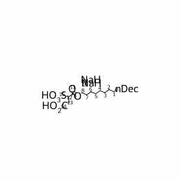 CCCCCCCCCCCCCCCCCCOC(=O)C(CC(=O)O)S(=O)(=O)O.[NaH].[NaH]